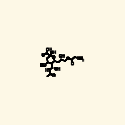 CC(=O)N[C@@H](O)C1C(O)CC(O)(C(=O)O)OC1C[C@H](O)COC(=O)CN